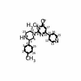 Cc1ccc(C2CN(c3nc(-c4ccncc4)cc(=O)n3C)CCN2)cc1